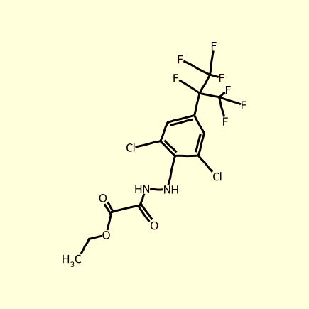 CCOC(=O)C(=O)NNc1c(Cl)cc(C(F)(C(F)(F)F)C(F)(F)F)cc1Cl